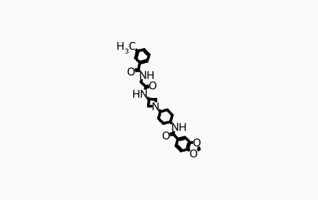 Cc1cccc(C(=O)NCC(=O)NC2CN(C3CCC(NC(=O)c4ccc5c(c4)OCO5)CC3)C2)c1